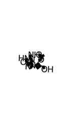 CC(=O)OC[C@@H]1[C@@H](CO)C[C@H]1n1cnc2c(=O)[nH]c(N)nc21